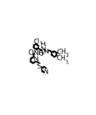 Cc1ccc(/C=N/NC(=O)c2cc(Cl)ccc2NC(=O)c2cccc(CSc3ccncc3)n2)cc1C